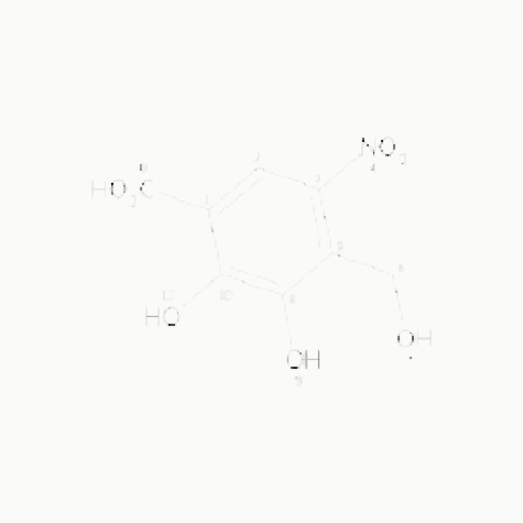 O=C(O)c1cc([N+](=O)[O-])c(CO)c(O)c1O